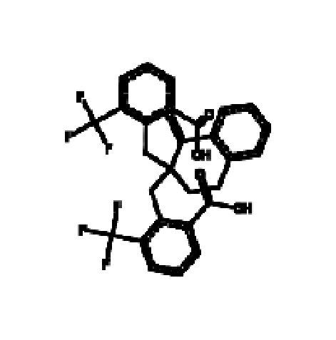 O=C(O)c1cccc(C(F)(F)F)c1CC1(Cc2c(C(=O)O)cccc2C(F)(F)F)CCc2ccccc2C1=O